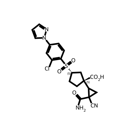 N#CC1(C(N)=O)CC1[C@]1(C(=O)O)CC[C@H](S(=O)(=O)c2ccc(-n3cccn3)cc2Cl)C1